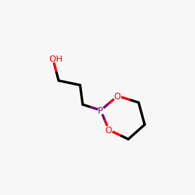 OCCCP1OCCCO1